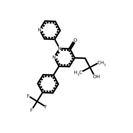 CC(C)(O)Cc1cc(-c2ccc(C(F)(F)F)cc2)nn(-c2cccnc2)c1=O